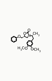 COc1ccc(C[C@@H](C)N2C[C@@H](COc3ccccc3)OC2=O)cc1OC